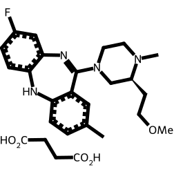 COCC[C@H]1CN(C2=Nc3cc(F)ccc3Nc3ccc(C)cc32)CCN1C.O=C(O)CCC(=O)O